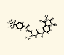 CCn1c(=O)c2cc(NC(=O)CC(C)CNC(=O)c3ccc(S(F)(F)(F)(F)F)cc3)ccc2n(CC)c1=O